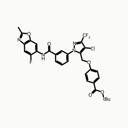 Cc1nc2cc(F)c(NC(=O)c3cccc(-n4nc(C(F)(F)F)c(Cl)c4COc4ccc(C(=O)OC(C)(C)C)cc4)c3)cc2o1